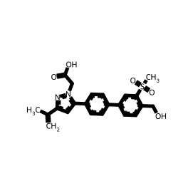 C=C(C)c1cc(-c2ccc(-c3ccc(CO)c(S(C)(=O)=O)c3)cc2)n(CC(=O)O)n1